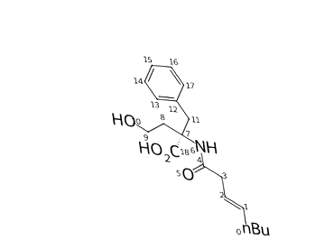 CCCC/C=C/CC(=O)N[C@@](CCO)(Cc1ccccc1)C(=O)O